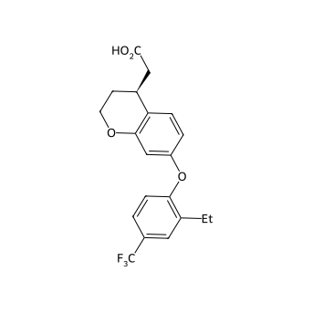 CCc1cc(C(F)(F)F)ccc1Oc1ccc2c(c1)OCC[C@H]2CC(=O)O